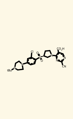 CC(C)(C)N1CCN(c2ccc(S(=O)(=O)[C@H]3CCN(c4nc(C#N)ncc4C(=O)O)C3)c(Cl)c2)CC1